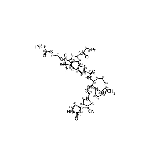 CC(C)CC(=O)SCCOP(=O)(OCCSC(=O)CC(C)C)C(F)(F)c1ccc2sc(C(=O)N[C@H]3CCCC(C)[C@H]4CC[C@@H](C(=O)N5C[C@@H](C#N)[C@H](c6cc[nH]c(=O)c6)C5)N4C3=O)cc2c1